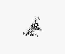 CCOc1ccc(N)c(S(=O)(=O)c2ccc(N)c(CC)c2)c1